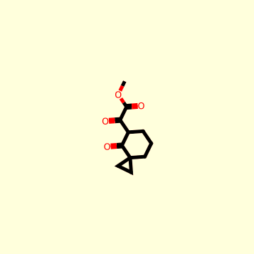 COC(=O)C(=O)C1CCCC2(CC2)C1=O